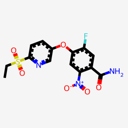 CCS(=O)(=O)c1ccc(Oc2cc([N+](=O)[O-])c(C(N)=O)cc2F)cn1